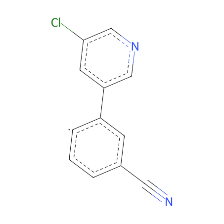 N#Cc1cc[c]c(-c2cncc(Cl)c2)c1